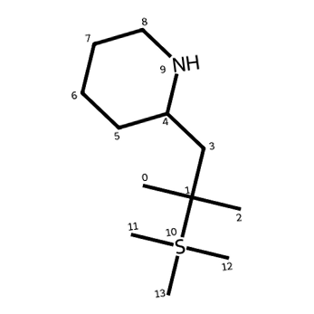 CC(C)(CC1CCCCN1)S(C)(C)C